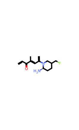 C=CC(=O)/C(C)=C/C(=C)N1CC(CF)CC[C@H]1N